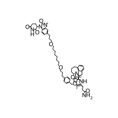 C[C@@H](OCc1ccc(CCCOCCCCCCCCOCCCc2ccc3c(c2)n(C)c(=O)n3C2CCC(=O)NC2=O)cc1)[C@H](CCC(N)=O)NC(=O)[C@@H]1Cc2cccc3c2N1C(O)CCC3